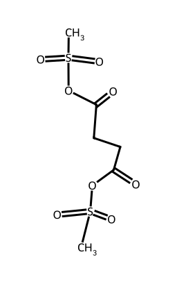 CS(=O)(=O)OC(=O)CCC(=O)OS(C)(=O)=O